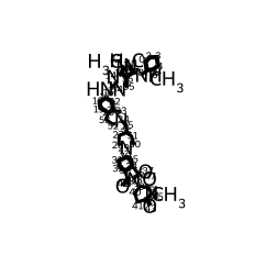 Cc1cccc(C)c1Nc1nn(C)c2nc(Nc3ccc4c(c3)CN(CC3CCN(c5ccc6c(c5)C(=O)N(C5CCC(=O)N(C)C5=O)C6=O)CC3)CC4)ncc12